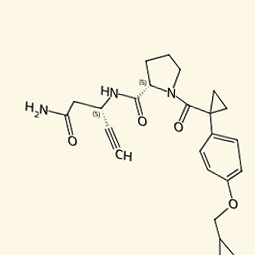 C#C[C@H](CC(N)=O)NC(=O)[C@@H]1CCCN1C(=O)C1(c2ccc(OCC3CC3)cc2)CC1